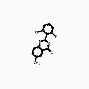 Cc1ccc2nc(-c3c(F)cccc3Cl)oc(=O)c2c1